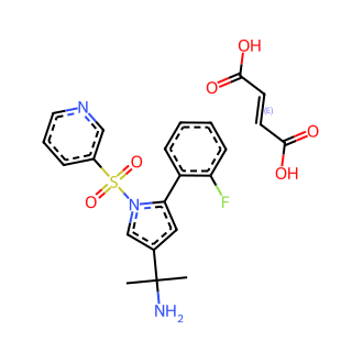 CC(C)(N)c1cc(-c2ccccc2F)n(S(=O)(=O)c2cccnc2)c1.O=C(O)/C=C/C(=O)O